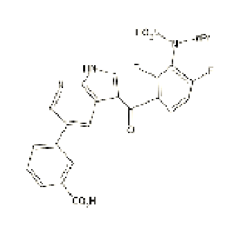 CCCN(c1c(F)ccc(C(=O)c2c[nH]c3ncc(-c4cccc(C(=O)O)c4)cc23)c1F)S(=O)(=O)O